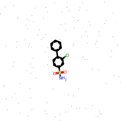 NS(=O)(=O)c1ccc(-c2ccccc2)c(Cl)c1